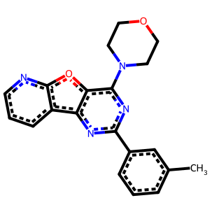 Cc1cccc(-c2nc(N3CCOCC3)c3oc4ncccc4c3n2)c1